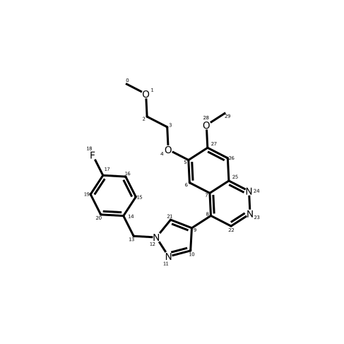 COCCOc1cc2c(-c3cnn(Cc4ccc(F)cc4)c3)cnnc2cc1OC